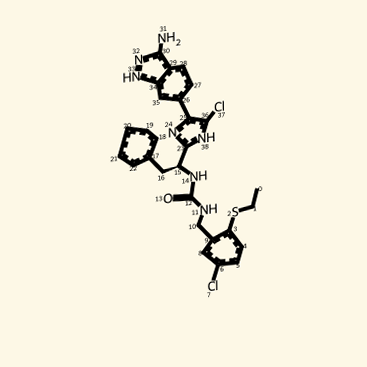 CCSc1ccc(Cl)cc1CNC(=O)N[C@@H](Cc1ccccc1)c1nc(-c2ccc3c(N)n[nH]c3c2)c(Cl)[nH]1